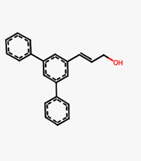 OC/C=C/c1cc(-c2ccccc2)cc(-c2ccccc2)c1